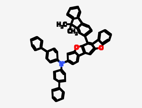 CC1(C)c2ccccc2-c2ccc(-c3c4oc5cc(N(c6ccc(-c7ccccc7)cc6)c6ccc(-c7ccccc7)cc6)ccc5c4cc4oc5ccccc5c34)cc21